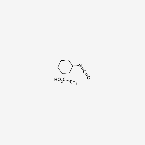 CC(=O)O.O=C=NC1CCCCC1